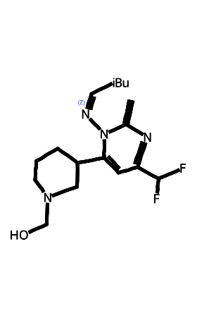 C=C1N=C(C(F)F)C=C(C2CCCN(CO)C2)N1/N=C\C(C)CC